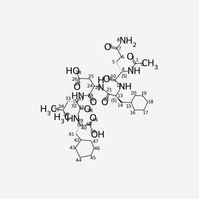 CC(=O)N[C@@H](CCC(N)=O)C(=O)N[C@@H](CC1CCCCC1)C(=O)NC(CC(=O)O)C(=O)N[C@@H](CC(C)C)C(=O)N[C@@H](CC1CCCCC1)C(=O)O